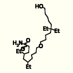 CCC(CCCCOCCCCC(CC)(CC)CCCCCO)CC(CC)CCS(N)(=O)=O